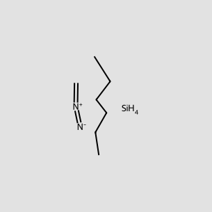 C=[N+]=[N-].CCCCCC.[SiH4]